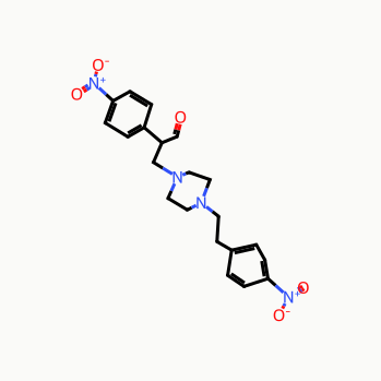 O=CC(CN1CCN(CCc2ccc([N+](=O)[O-])cc2)CC1)c1ccc([N+](=O)[O-])cc1